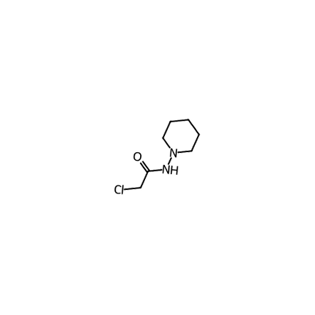 O=C(CCl)NN1CCCCC1